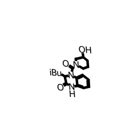 CCC(C)C1C(=O)Nc2ccccc2N1C(=O)N1CCCC(O)C1